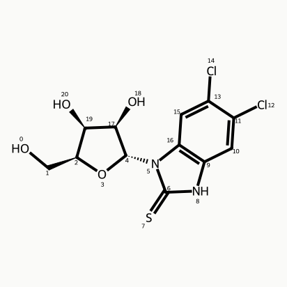 OC[C@@H]1O[C@@H](n2c(=S)[nH]c3cc(Cl)c(Cl)cc32)[C@H](O)[C@@H]1O